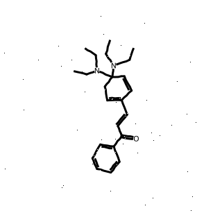 CCN(CC)C1(N(CC)CC)C=CC(C=CC(=O)c2ccccc2)=CC1